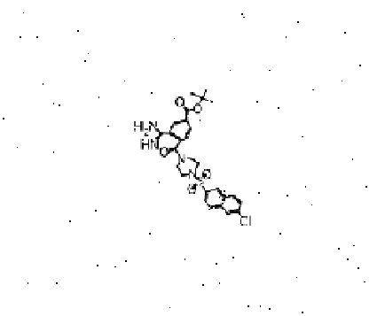 CC(C)(C)OC(=O)c1ccc(C(=O)N2CCN(S(=O)(=O)c3ccc4cc(Cl)ccc4c3)CC2)c(C(=N)N)c1